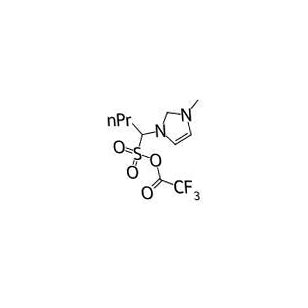 CCCC(N1C=CN(C)C1)S(=O)(=O)OC(=O)C(F)(F)F